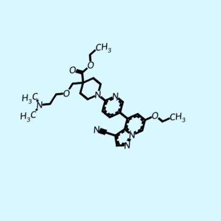 CCOC(=O)C1(COCCN(C)C)CCN(c2ccc(-c3cc(OCC)cn4ncc(C#N)c34)cn2)CC1